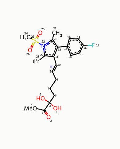 COC(=O)C(O)(O)CCC/C=C/c1c(-c2ccc(F)cc2)c(C)n(S(C)(=O)=O)c1C(C)C